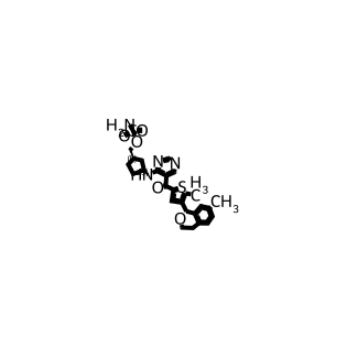 Cc1ccc2c(c1)C(c1cc(C(=O)c3cncnc3N[C@H]3CC[C@@H](COS(N)(=O)=O)C3)sc1C)OCC2